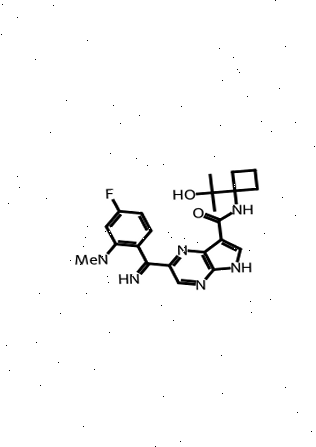 CNc1cc(F)ccc1C(=N)c1cnc2[nH]cc(C(=O)NC3(C(C)(C)O)CCC3)c2n1